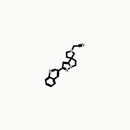 N#CCN1CCC2(CCn3nc(-c4cnc5ccccc5c4)cc32)C1